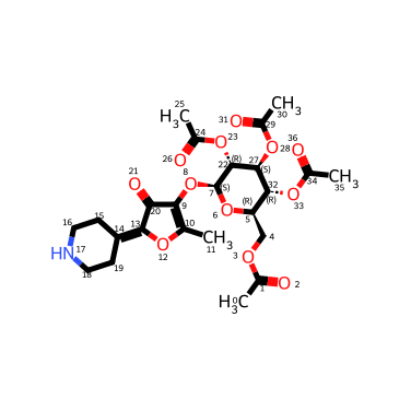 CC(=O)OC[C@H]1O[C@@H](OC2=C(C)OC(=C3CCNCC3)C2=O)[C@H](OC(C)=O)[C@@H](OC(C)=O)[C@@H]1OC(C)=O